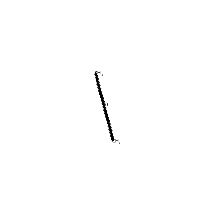 CCCCCCCCCCCCCCCCCCCCCCC(=O)CCCCCCCCCCCCCCCCCCCC